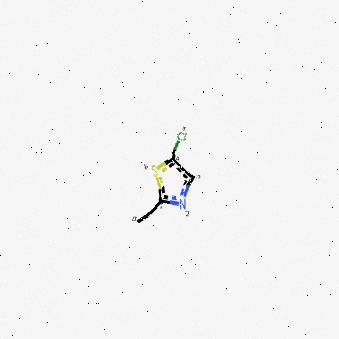 Cc1ncc(Cl)s1